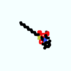 CCCCCCCCCCC(=O)SCC(=O)N(c1c(C)ccc(C)c1C)C(C)C(=O)OC